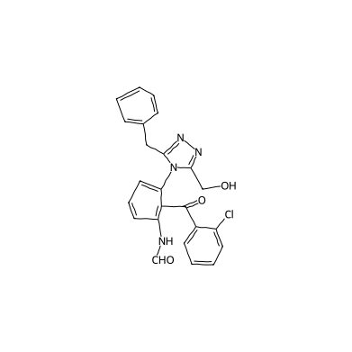 O=CNc1cccc(-n2c(CO)nnc2Cc2ccccc2)c1C(=O)c1ccccc1Cl